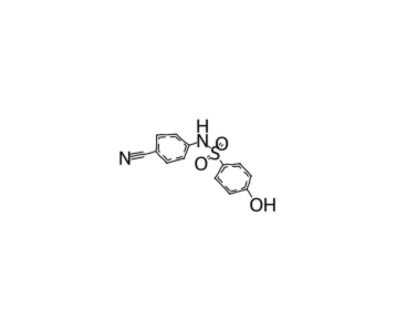 N#Cc1ccc(NS(=O)(=O)c2ccc(O)cc2)cc1